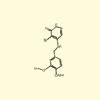 CCOc1cc(CNc2cn[nH]c(=O)c2Br)ccc1OC